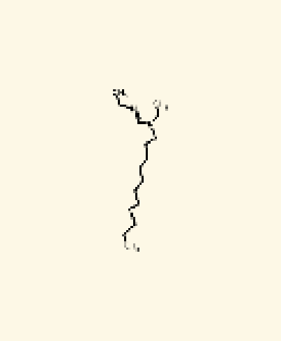 CCCCCCCCCCSN(C=NCC)CC